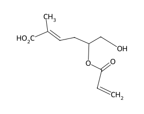 C=CC(=O)OC(CO)C/C=C(\C)C(=O)O